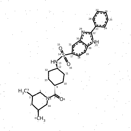 CC1CC(C)CN(C(=O)[C@H]2CC[C@H](NS(=O)(=O)c3ccc4[nH]c(-c5ccccc5)nc4c3)CC2)C1